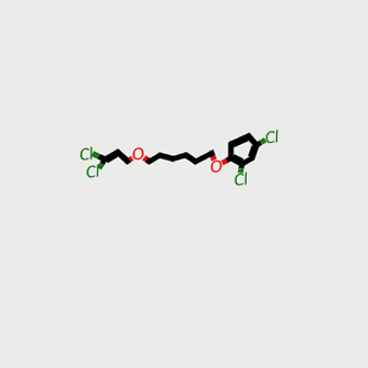 ClC(Cl)=CCOCCCCCCOc1ccc(Cl)cc1Cl